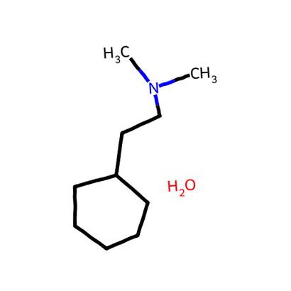 CN(C)CCC1CCCCC1.O